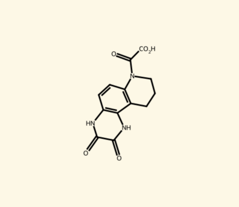 O=C(O)C(=O)N1CCCc2c1ccc1[nH]c(=O)c(=O)[nH]c21